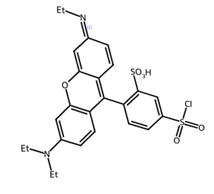 CC/N=c1/ccc2c(-c3ccc(S(=O)(=O)Cl)cc3S(=O)(=O)O)c3ccc(N(CC)CC)cc3oc-2c1